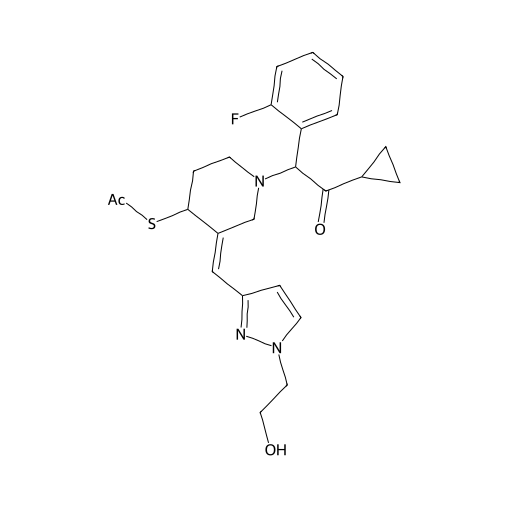 CC(=O)SC1CCN(C(C(=O)C2CC2)c2ccccc2F)CC1=Cc1ccn(CCO)n1